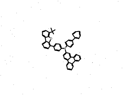 CC(C)(C)c1cccc2c1oc1c(-c3ccc(N(c4ccc(-c5ccccc5)cc4)c4ccc5c6ccccc6c6ccccc6c5c4)cc3)cccc12